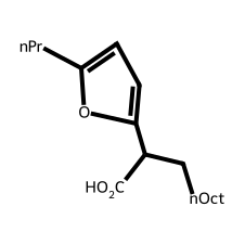 CCCCCCCCCC(C(=O)O)c1ccc(CCC)o1